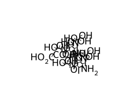 CN(C(=O)c1c(I)c(N)c(I)c(C(=O)NCC(O)CO)c1I)C(O)C(O)CO.CN(C(=O)c1c(I)c(N)c(I)c(C(=O)NCC(O)CO)c1I)C(O)C(O)CO.O=C(O)CC(=O)O